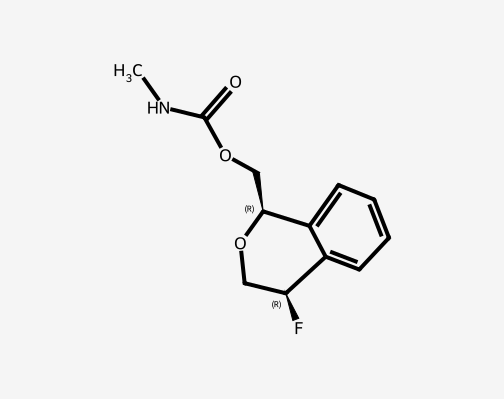 CNC(=O)OC[C@@H]1OC[C@H](F)c2ccccc21